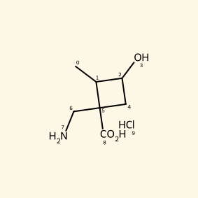 CC1C(O)CC1(CN)C(=O)O.Cl